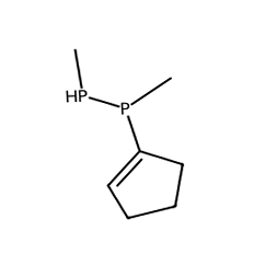 CPP(C)C1=CCCC1